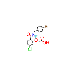 O=C(O)COc1cc(Cl)ccc1C(=O)N(F)Cc1ccc(Br)cc1